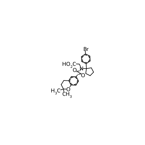 CC1(C)CCc2cc(S(=O)(=O)N(CC(=O)O)C3(c4ccc(Br)cc4)CCCC3)ccc2O1